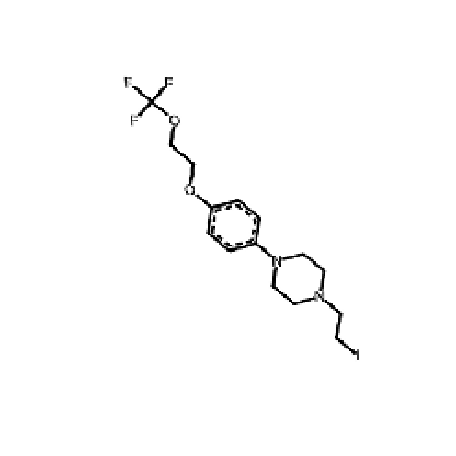 FC(F)(F)OCCOc1ccc(N2CCN(CCI)CC2)cc1